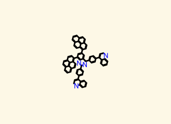 c1cc2ccc3ccc(-c4cc(-c5ccc6ccc7cccc8ccc5c6c78)c5nc(-c6ccc(-c7ccnc8ccccc78)cc6)nc(-c6ccc(-c7ccnc8ccccc78)cc6)c5c4)c4ccc(c1)c2c34